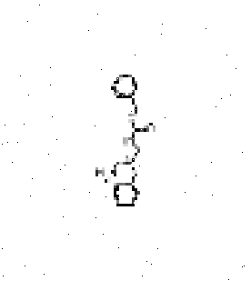 NC[C@@H](CNC(=O)OCc1ccccc1)Cc1ccccc1